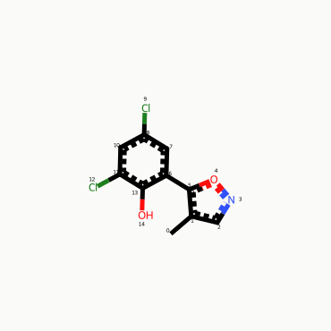 Cc1cnoc1-c1cc(Cl)cc(Cl)c1O